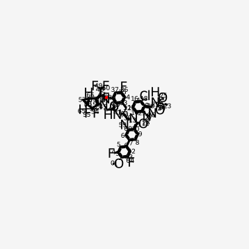 COc1c(F)cc(-c2ccc3c(=O)n(-c4ccc(Cl)c5c(NS(C)(=O)=O)nn(C)c45)c([C@H](Cc4cc(F)cc(F)c4)NC(=O)Cn4nc(C(F)F)c5c4C(F)(F)[C@@H]4C[C@H]54)nc3c2)cc1F